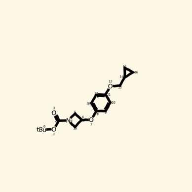 CC(C)(C)OC(=O)N1CC(Oc2ccc(OCC3CC3)cc2)C1